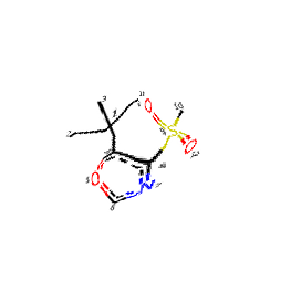 CC(C)(C)c1ocnc1S(C)(=O)=O